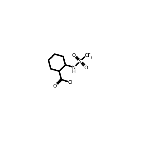 O=C(Cl)C1CCCCC1NS(=O)(=O)C(F)(F)F